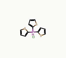 Cl[PH](c1cccs1)(c1cccs1)c1cccs1